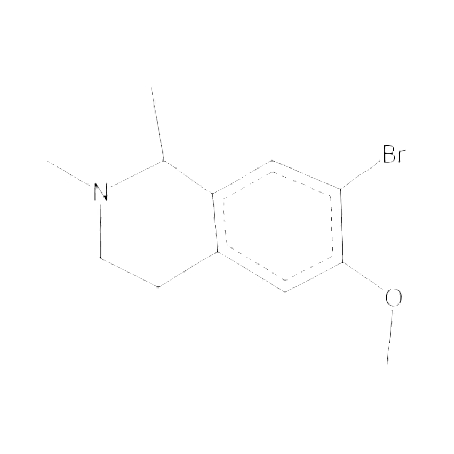 COc1cc2c(cc1Br)C(C)N(C)CC2